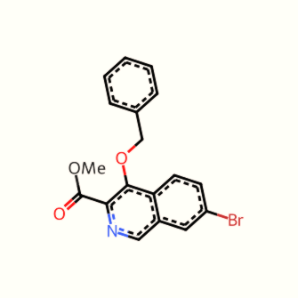 COC(=O)c1ncc2cc(Br)ccc2c1OCc1ccccc1